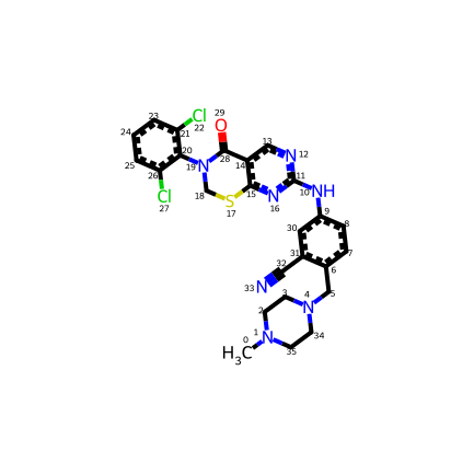 CN1CCN(Cc2ccc(Nc3ncc4c(n3)SCN(c3c(Cl)cccc3Cl)C4=O)cc2C#N)CC1